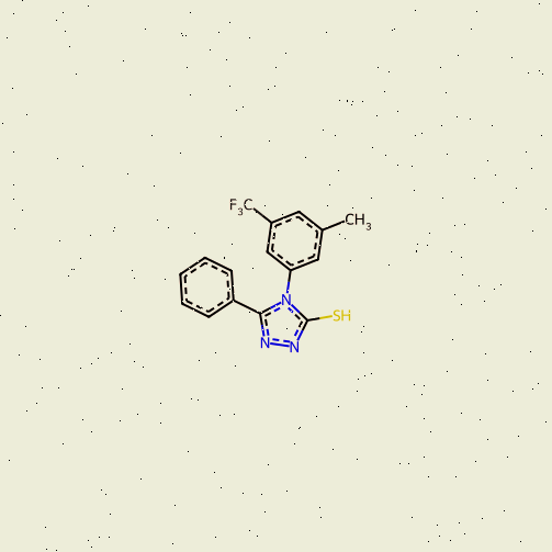 Cc1cc(-n2c(S)nnc2-c2ccccc2)cc(C(F)(F)F)c1